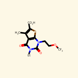 CCn1c(=O)c2c(C)c(C(=O)O)sc2n(CCOC(F)(F)F)c1=O